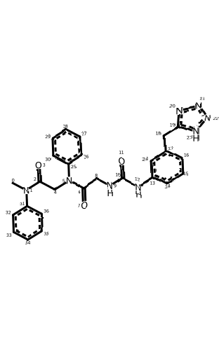 CN(C(=O)CN(C(=O)CNC(=O)Nc1cccc(Cc2nnn[nH]2)c1)c1ccccc1)c1ccccc1